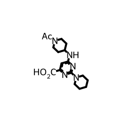 CC(=O)N1CCC(Nc2cc(C(=O)O)nc(N3CCCCC3)n2)CC1